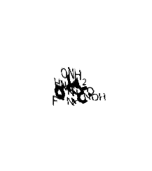 CC(C1CC1)C1[C@H](n2cc(C(N)=O)c(Nc3ccc(F)cc3)n2)[C@@H](C#N)CCN1C(=O)O